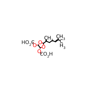 C=C(CCC=C(C)C)C1O[C@H](OC(=O)O)[C@@H](OC(=O)O)O1